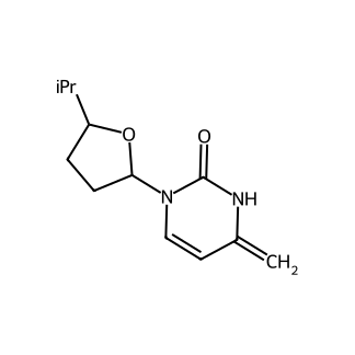 C=C1C=CN(C2CCC(C(C)C)O2)C(=O)N1